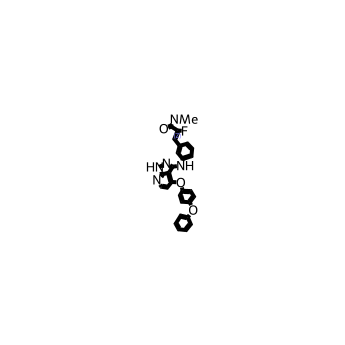 CNC(=O)/C(F)=C/c1cccc(Nc2n[nH]c3nccc(Oc4ccc(Oc5ccccc5)cc4)c23)c1